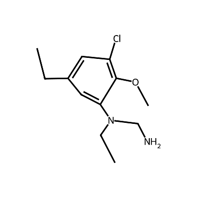 CCc1cc(Cl)c(OC)c(N(CC)CN)c1